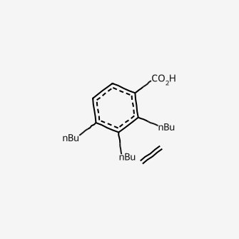 C=C.CCCCc1ccc(C(=O)O)c(CCCC)c1CCCC